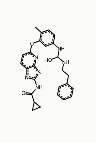 Cc1ccc(NC(O)NCCc2ccccc2)cc1Oc1ccc2nc(NC(=O)C3CC3)sc2n1